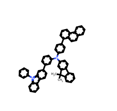 CC1(C)c2ccccc2-c2ccc(N(c3ccc(-c4cccc5c4ccc4ccccc45)cc3)c3cccc(-c4ccc5c6ccccc6n(-c6ccccc6)c5c4)c3)cc21